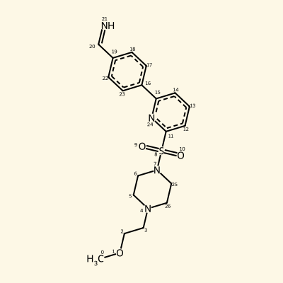 COCCN1CCN(S(=O)(=O)c2cccc(-c3ccc(C=N)cc3)n2)CC1